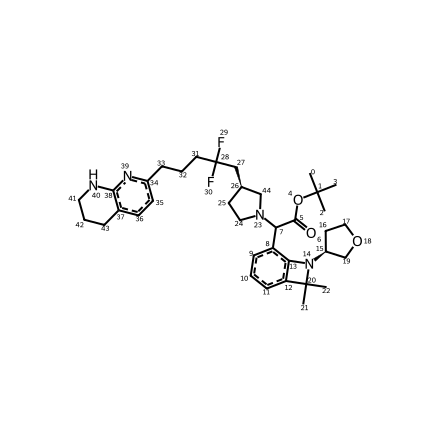 CC(C)(C)OC(=O)C(c1cccc2c1N([C@H]1CCOC1)C2(C)C)N1CC[C@@H](CC(F)(F)CCCc2ccc3c(n2)NCCC3)C1